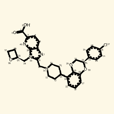 O=C(O)c1ccc2nc(CN3CCC(c4cccc5c4OC[C@@H](c4ccc(Cl)cc4)O5)CC3)n(C[C@@H]3CCO3)c2n1